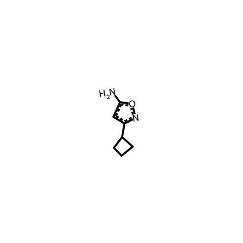 Nc1cc(C2CCC2)no1